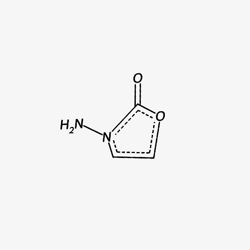 Nn1ccoc1=O